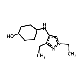 CCc1nn(CC)cc1NC1CCC(O)CC1